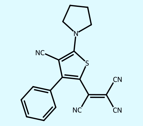 N#CC(C#N)=C(C#N)c1sc(N2CCCC2)c(C#N)c1-c1ccccc1